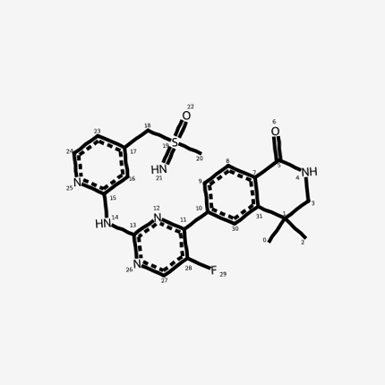 CC1(C)CNC(=O)c2ccc(-c3nc(Nc4cc(CS(C)(=N)=O)ccn4)ncc3F)cc21